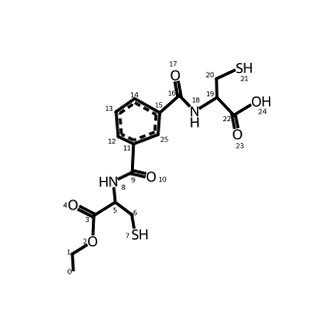 CCOC(=O)C(CS)NC(=O)c1cccc(C(=O)NC(CS)C(=O)O)c1